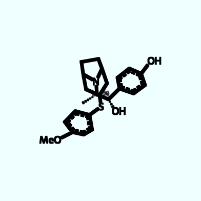 COc1ccc(SC2CC3CCC(C2)N3[C@@H](C)[C@@H](O)c2ccc(O)cc2)cc1